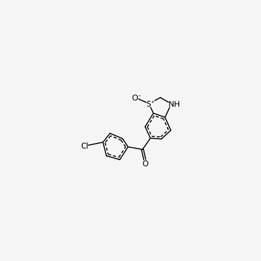 O=C(c1ccc(Cl)cc1)c1ccc2c(c1)[S+]([O-])CN2